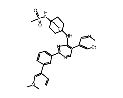 C=C/C(=C\N(C)C)c1cccc(-c2ncc(C(/C=N\C)=C/CC)c(NC34CCC(NS(C)(=O)=O)(CC3)CC4)n2)c1